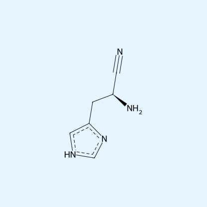 N#C[C@@H](N)Cc1c[nH]cn1